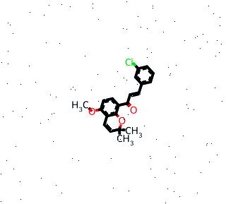 COc1ccc(C(=O)C=Cc2cccc(Cl)c2)c2c1C=CC(C)(C)O2